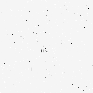 Cc1cccc(C)c1NC(=O)C1CCCC[N+]1(C)C